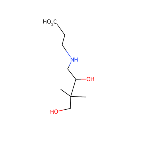 CC(C)(CO)C(O)CNCCC(=O)O